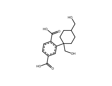 O=C(O)c1ccc(C(=O)O)c(C2(CO)CCC(CO)CC2)c1